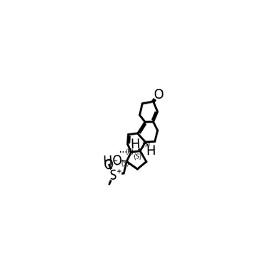 C[S+]([O-])C[C@]1(O)CC[C@H]2[C@@H]3CCC4=CC(=O)CCC4=C3C=C[C@@]21C